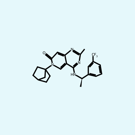 Cc1nc(N[C@H](C)c2cccc(C(F)(F)F)c2)c2cn(C34CCC(CC3)C4)c(=O)cc2n1